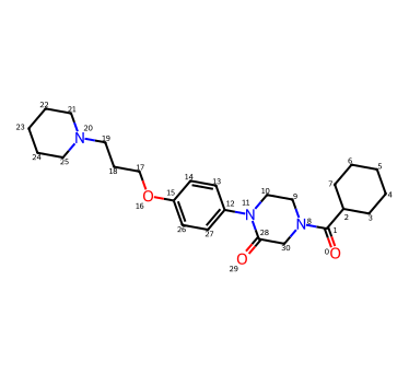 O=C(C1CCCCC1)N1CCN(c2ccc(OCCCN3CCCCC3)cc2)C(=O)C1